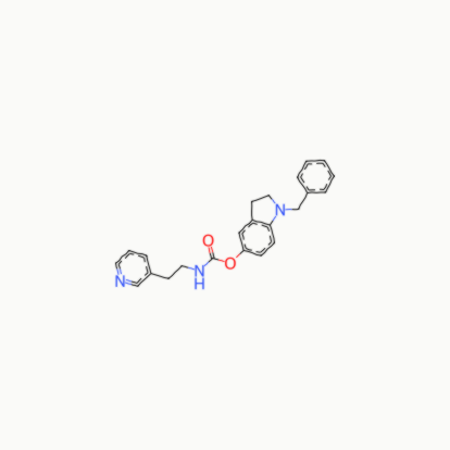 O=C(NCCc1cccnc1)Oc1ccc2c(c1)CCN2Cc1ccccc1